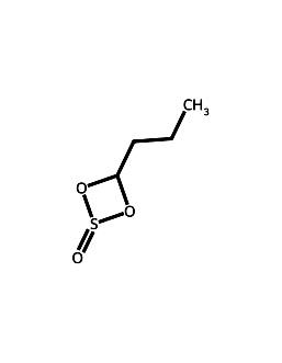 CCCC1OS(=O)O1